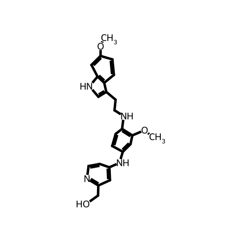 COc1ccc2c(CCNc3ccc(Nc4ccnc(CO)c4)cc3OC)c[nH]c2c1